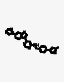 Cn1cc(-c2ccc(CNc3cc(-c4cnc5cc(-n6cncn6)ccn45)ncn3)cc2)cn1